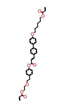 C=CC(=O)OCCCCCCOc1ccc(-c2ccc(/C=C/C(=O)Oc3ccc(CCOCCOC(=O)C=C)cc3)cc2)cc1